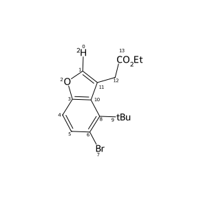 [2H]c1oc2ccc(Br)c(C(C)(C)C)c2c1CC(=O)OCC